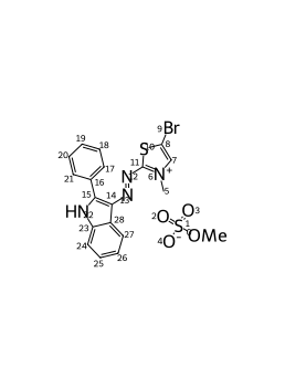 COS(=O)(=O)[O-].C[n+]1cc(Br)sc1N=Nc1c(-c2ccccc2)[nH]c2ccccc12